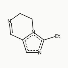 CCc1ncc2n1CCN=C2